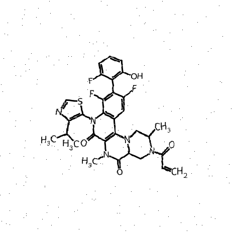 C=CC(=O)N1CC2C(=O)N(C)c3c(c4cc(F)c(-c5c(O)cccc5F)c(F)c4n(-c4scnc4C(C)C)c3=O)N2CC1C